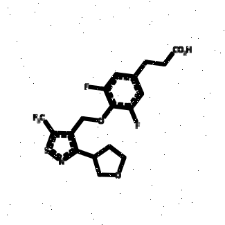 O=C(O)CCc1cc(F)c(OCc2c(C3CCOC3)nsc2C(F)(F)F)c(F)c1